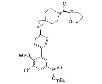 CCCCOC(=O)c1cc(Cl)c(OC)c(-c2ccc([C@H]3CC34CCN(C(=O)[C@H]3CCCO3)CC4)cc2)c1